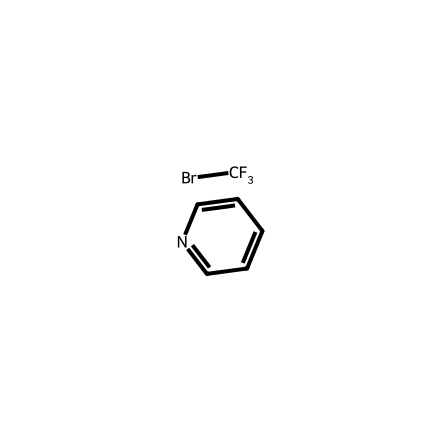 FC(F)(F)Br.c1ccncc1